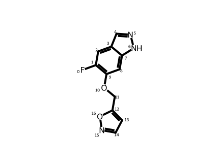 Fc1cc2cn[nH]c2cc1OCc1ccno1